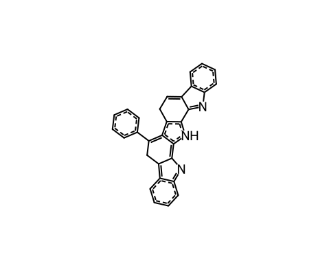 C1=C2C(=Nc3ccccc32)c2[nH]c3c(c2C1)=C(c1ccccc1)CC1=c2ccccc2=NC=31